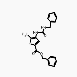 Cc1sc(C(=O)OCc2ccccc2)cc1NC(=O)NCc1ccccc1